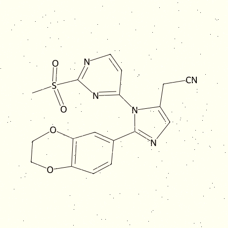 CS(=O)(=O)c1nccc(-n2c(CC#N)cnc2-c2ccc3c(c2)OCCO3)n1